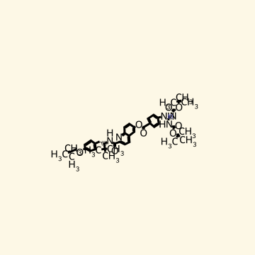 CC(C)(C)COc1ccc(C[C@H](NC(=O)c2ccc3cc(OC(=O)c4ccc(N/C(=N\C(=O)OC(C)(C)C)NC(=O)OC(C)(C)C)cc4)ccc3n2)C(C)(C)C)cc1